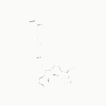 C=C(C)C(=O)OCCCCOC(=O)OCC1c2ccccc2-c2cc(/C(=N/C)C(F)(F)C(F)(F)C(F)(F)F)ccc21